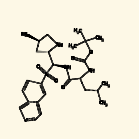 CC(C)CC(NC(=O)OC(C)(C)C)C(=O)N[C@H]([C@@H]1C[C@@H](S)CN1)S(=O)(=O)c1ccc2ccccc2c1